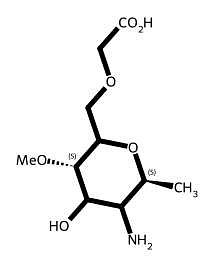 CO[C@@H]1C(COCC(=O)O)O[C@@H](C)C(N)C1O